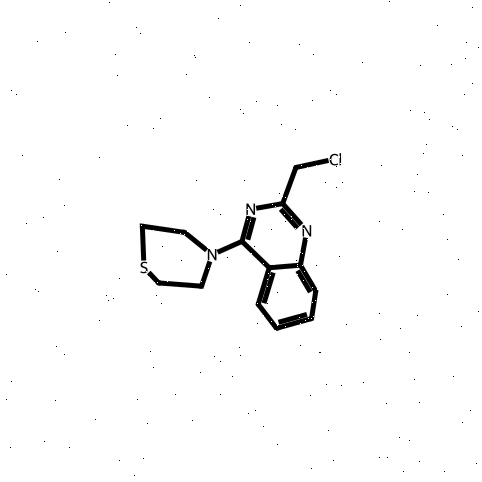 ClCc1nc(N2CCSCC2)c2ccccc2n1